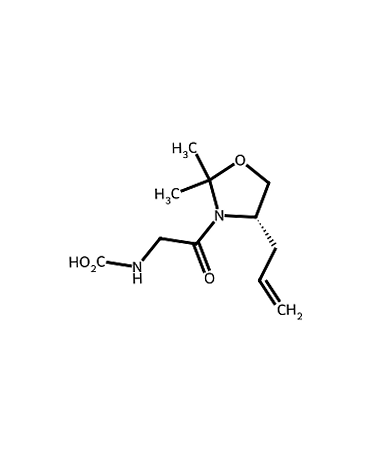 C=CC[C@H]1COC(C)(C)N1C(=O)CNC(=O)O